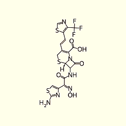 Nc1nc(C(=NO)C(=O)NC2C(=O)N3C(C(=O)O)=C(C=Cc4scnc4C(F)(F)F)CS[C@@H]23)cs1